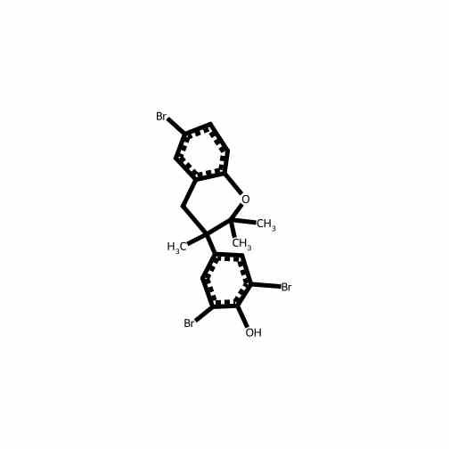 CC1(C)Oc2ccc(Br)cc2CC1(C)c1cc(Br)c(O)c(Br)c1